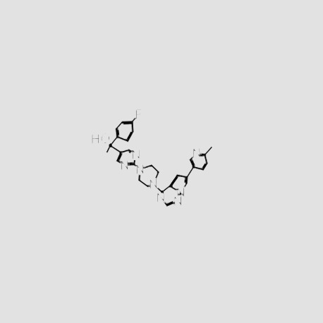 Cc1ccc(-c2cc3c(N4CCN(c5ncc(C(C)(O)c6ccc(F)cc6)cn5)CC4)ncnn3c2)cn1